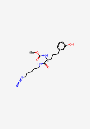 CC(C)(C)OC(=O)N[C@@H](CCCc1cccc(O)c1)C(=O)NCCCCCN=[N+]=[N-]